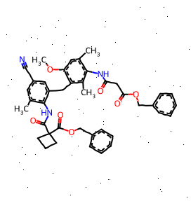 COc1cc(C)c(NC(=O)CC(=O)OCc2ccccc2)c(C)c1Cc1cc(C#N)cc(C)c1NC(=O)C1(C(=O)OCc2ccccc2)CCC1